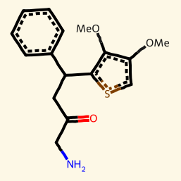 COc1csc(C(CC(=O)CN)c2ccccc2)c1OC